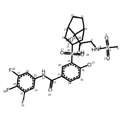 CS(=O)(=O)NCC(O)C1(O)C2CCC1CC(S(=O)(=O)c1cc(C(=O)Nc3cc(F)c(F)c(F)c3)ccc1Cl)C2